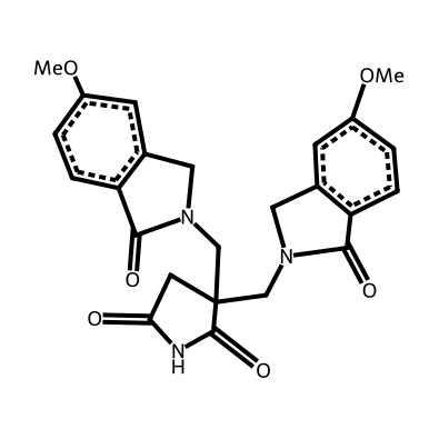 COc1ccc2c(c1)CN(CC1(CN3Cc4cc(OC)ccc4C3=O)CC(=O)NC1=O)C2=O